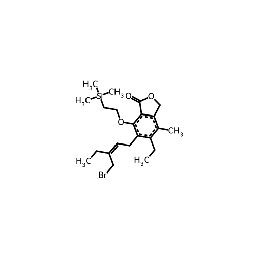 CC/C(=C/Cc1c(CC)c(C)c2c(c1OCC[Si](C)(C)C)C(=O)OC2)CBr